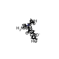 Nc1nc(/C(=N/OC2CCNC2=O)C(=O)N[C@@H]2C(=O)N3C(C(=O)[O-])=C(C[n+]4cccc(CO)c4)CS[C@@H]23)cs1